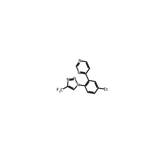 CCc1ccc(-n2cc(C(F)(F)F)nn2)c(-c2ccncn2)c1